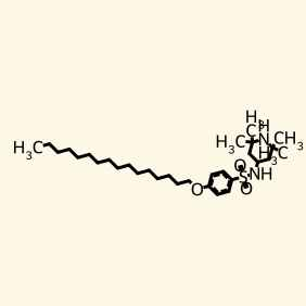 CCCCCCCCCCCCCCCCOc1ccc(S(=O)(=O)NC2CC(C)(C)NC(C)(C)C2)cc1